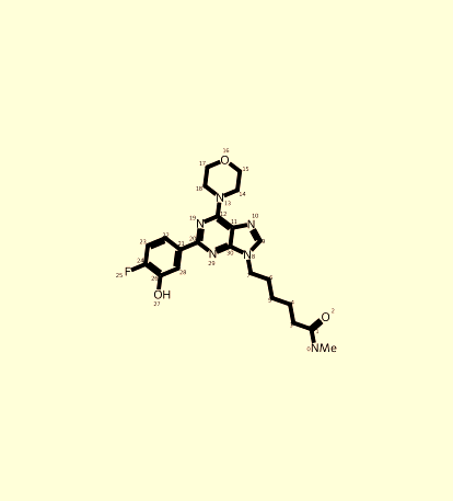 CNC(=O)CCCCCn1cnc2c(N3CCOCC3)nc(-c3ccc(F)c(O)c3)nc21